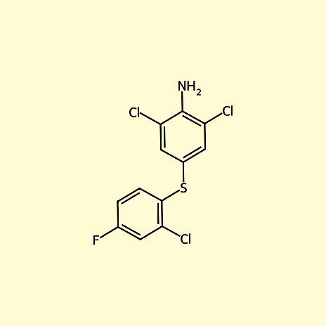 Nc1c(Cl)cc(Sc2ccc(F)cc2Cl)cc1Cl